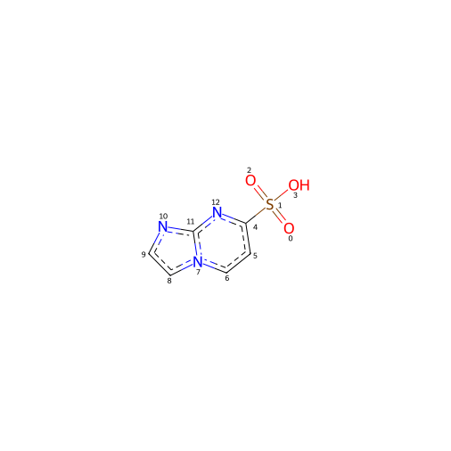 O=S(=O)(O)c1ccn2ccnc2n1